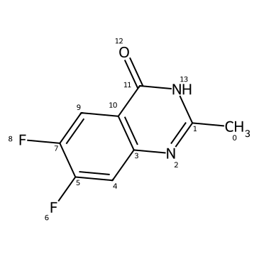 Cc1nc2cc(F)c(F)cc2c(=O)[nH]1